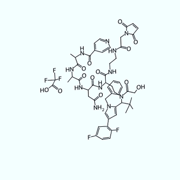 CC(NC(=O)c1ccncc1)C(=O)NC(C)C(=O)NC(CC(N)=O)C(=O)NC(CCN(C(=O)CO)C(c1cc(-c2cc(F)ccc2F)cn1Cc1ccccc1)C(C)(C)C)C(=O)NCCNC(=O)CN1C(=O)C=CC1=O.O=C(O)C(F)(F)F